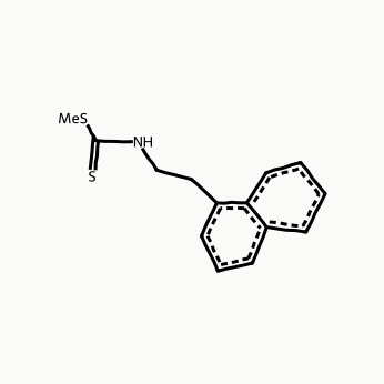 CSC(=S)NCCc1cccc2ccccc12